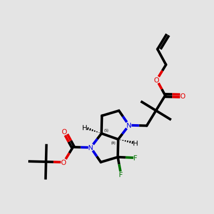 C=CCOC(=O)C(C)(C)CN1CC[C@H]2[C@@H]1C(F)(F)CN2C(=O)OC(C)(C)C